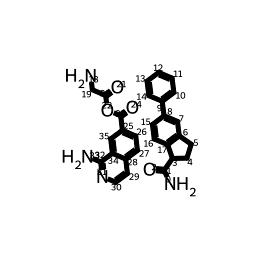 NC(=O)C1CCc2cc(-c3ccccc3)ccc21.NCC(=O)OC(=O)c1ccc2ccnc(N)c2c1